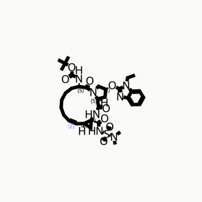 CCn1c(O[C@@H]2C[C@H]3C(=O)N[C@]4(C(=O)NS(=O)(=O)N(C)C)C[C@H]4/C=C\CCCCC[C@H](NC(=O)OC(C)(C)C)C(=O)N3C2)nc2ccccc21